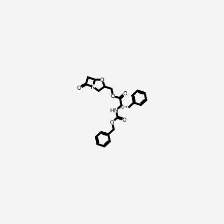 O=C(N[C@@H](Cc1ccccc1)C(=O)OCC1CN2C(=O)CC2O1)OCc1ccccc1